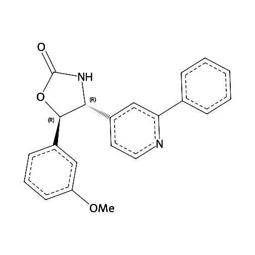 COc1cccc([C@H]2OC(=O)N[C@@H]2c2ccnc(-c3ccccc3)c2)c1